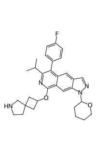 CC(C)c1nc(OC2CC3(CCNC3)C2)c2cc3c(cnn3C3CCCCO3)cc2c1-c1ccc(F)cc1